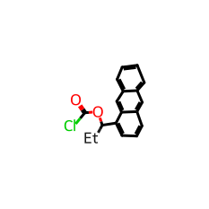 CCC(OC(=O)Cl)c1cccc2cc3ccccc3cc12